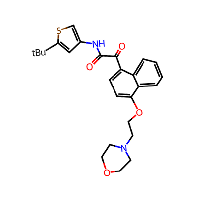 CC(C)(C)c1cc(NC(=O)C(=O)c2ccc(OCCN3CCOCC3)c3ccccc23)cs1